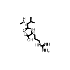 CN[C@@H](C(=O)N[C@@H](CCCNC(=N)N)C(=O)O)C(C)C